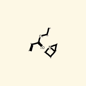 C1CN2CC12.C=CC(=O)OCC